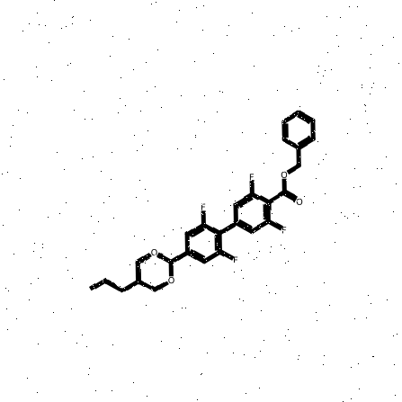 CCCC1COC(c2cc(F)c(-c3cc(F)c(C(=O)OCc4ccccc4)c(F)c3)c(F)c2)OC1